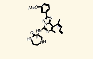 C=C/C=C(/C)c1c(C)nc(N[C@@H]2CNCCNC2=O)n2nc(-c3cccc(OC)c3)nc12